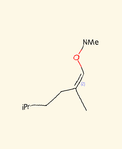 CNO/C=C(/C)CCC(C)C